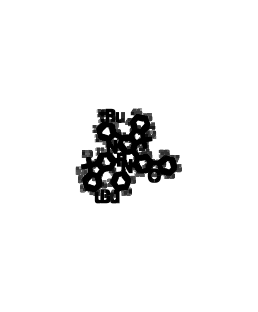 CC(C)(C)c1ccc(N2B3c4cc5c(cc4-n4c6ccc(C(C)(C)C)cc6c6c7c(c(c3c64)-c3cc4c(cc32)oc2ccccc24)C(C)(C)c2ccccc2-7)C(C)(C)c2ccccc2-5)cc1